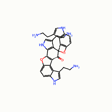 NCCc1c[nH]c2c1C1(Oc3ccc4[nH]cc(CCN)c4c31)C(=O)c1c-2oc2ccc3[nH]cc(CCN)c3c12